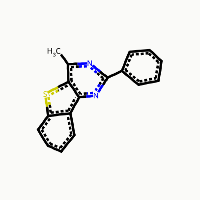 Cc1nc(-c2ccccc2)nc2c1sc1ccccc12